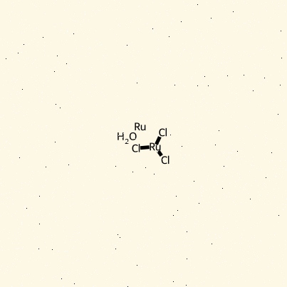 O.[Cl][Ru]([Cl])[Cl].[Ru]